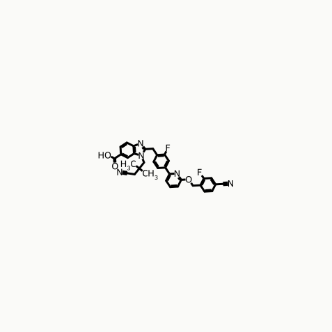 CC(C)(CC#N)Cn1c(Cc2ccc(-c3cccc(OCc4ccc(C#N)cc4F)n3)cc2F)nc2ccc(C(=O)O)cc21